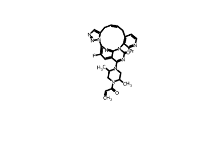 C=CC(=O)N1CC(C)N(c2nc(=O)n3c4nc(c(F)cc24)-n2nncc2C/C=C\Cc2ccnc(C(C)C)c2-3)CC1C